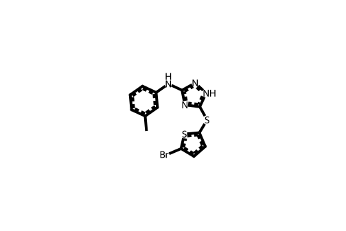 Cc1cccc(Nc2n[nH]c(Sc3ccc(Br)s3)n2)c1